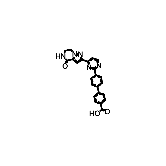 O=C(O)c1ccc(-c2ccc(-c3nccc(-c4cc5n(n4)CCNC5=O)n3)cc2)cc1